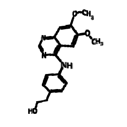 COc1cc2ncnc(Nc3ccc(CCO)cc3)c2cc1OC